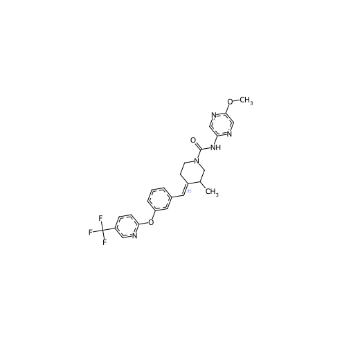 COc1cnc(NC(=O)N2CC/C(=C\c3cccc(Oc4ccc(C(F)(F)F)cn4)c3)C(C)C2)cn1